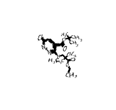 CCOC(=O)C(C)(C)CN(C)c1nnc(Cl)cc1C(=O)OC(C)(C)C